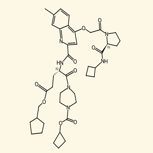 Cc1ccc2c(OCC(=O)N3CCC[C@H]3C(=O)NC3CCC3)cc(C(=O)N[C@@H](CCC(=O)OCC3CCCC3)C(=O)N3CCN(C(=O)OC4CCC4)CC3)nc2c1